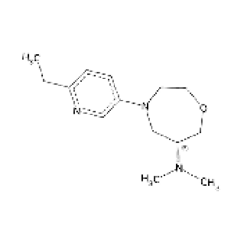 CCc1ccc(N2CCOC[C@H](N(C)C)C2)cn1